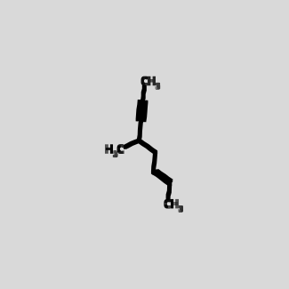 CC#CC(C)CC=CC